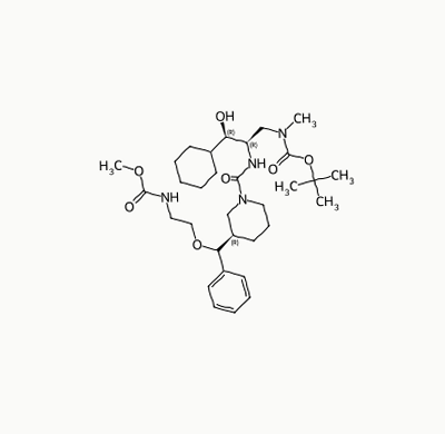 COC(=O)NCCOC(c1ccccc1)[C@@H]1CCCN(C(=O)N[C@H](CN(C)C(=O)OC(C)(C)C)[C@H](O)C2CCCCC2)C1